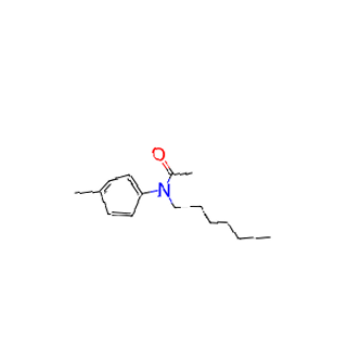 CCCCCCN(C(C)=O)c1ccc(C)cc1